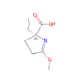 CC[C@@]1(C(=O)O)CCC(OC)=N1